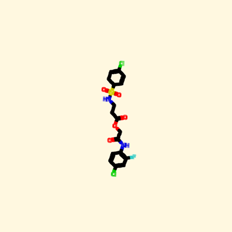 O=C(COC(=O)CCNS(=O)(=O)C1C=CC(Cl)=CC1)Nc1ccc(Cl)cc1F